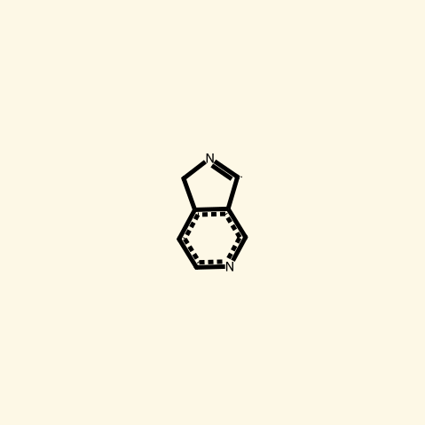 [C]1=NCc2ccncc21